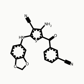 N#Cc1cccc(C(=O)c2sc(Nc3ccc4c(c3)OCO4)c(C#N)c2N)c1